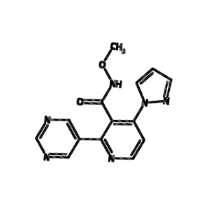 CONC(=O)c1c(-n2cccn2)ccnc1-c1cncnc1